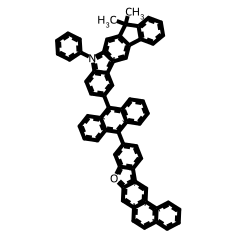 CC1(C)c2ccccc2-c2cc3c4cc(-c5c6ccccc6c(-c6ccc7c(c6)oc6cc8ccc9ccccc9c8cc67)c6ccccc56)ccc4n(-c4ccccc4)c3cc21